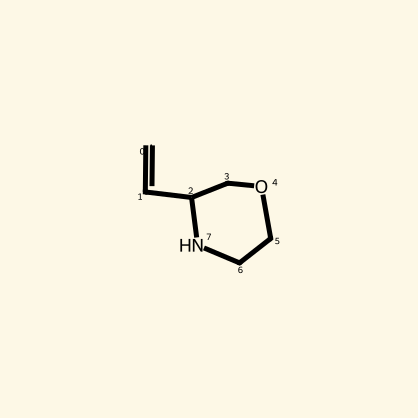 [CH]=CC1COCCN1